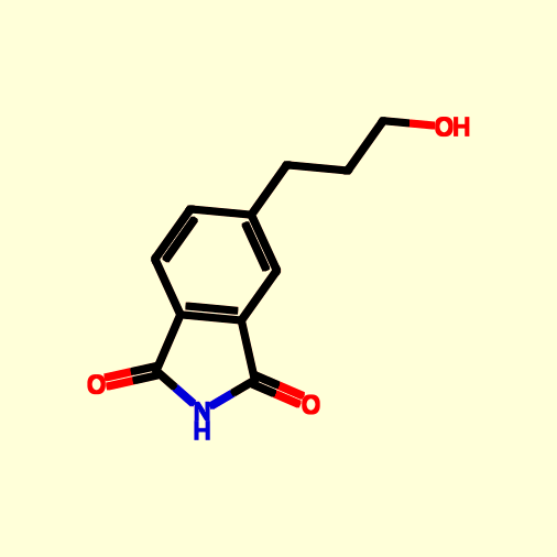 O=C1NC(=O)c2cc(CCCO)ccc21